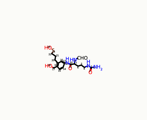 NC(=O)NCCCC(NC=O)C(=O)Nc1ccc(CO)c(CCCSO)c1